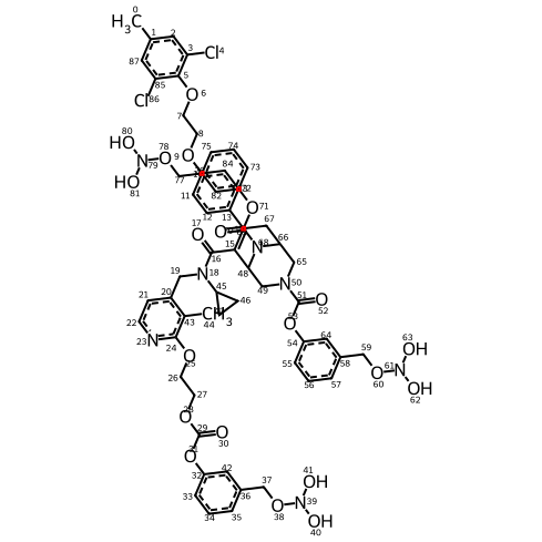 Cc1cc(Cl)c(OCCOc2ccc(C3=C(C(=O)N(Cc4ccnc(OCCOC(=O)Oc5cccc(CON(O)O)c5)c4C)C4CC4)C4CN(C(=O)Oc5cccc(CON(O)O)c5)CC(C3)N4C(=O)Oc3cccc(CON(O)O)c3)cc2)c(Cl)c1